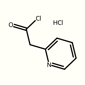 Cl.O=C(Cl)Cc1ccccn1